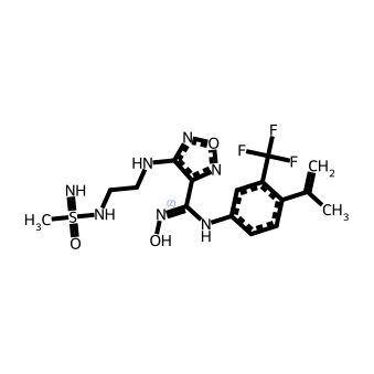 C=C(C)c1ccc(N/C(=N\O)c2nonc2NCCNS(C)(=N)=O)cc1C(F)(F)F